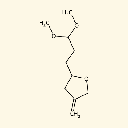 C=C1COC(CCC(OC)OC)C1